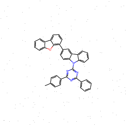 Cc1ccc(-c2nc(-c3ccccc3)nc(-n3c4ccccc4c4cc(-c5cccc6c5oc5ccccc56)ccc43)n2)cc1